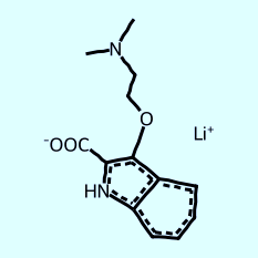 CN(C)CCOc1c(C(=O)[O-])[nH]c2ccccc12.[Li+]